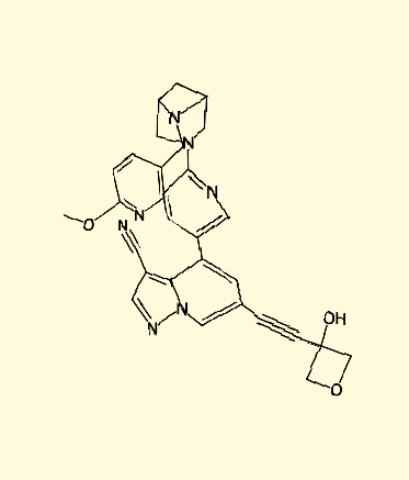 COc1ccc(CN2C3CC2CN(c2ccc(-c4cc(C#CC5(O)COC5)cn5ncc(C#N)c45)cn2)C3)cn1